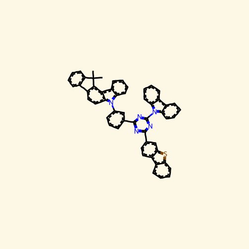 CC1(C)c2ccccc2-c2ccc3c(c21)c1ccccc1n3-c1cccc(-c2nc(-c3ccc4c(c3)sc3ccccc34)nc(-n3c4ccccc4c4ccccc43)n2)c1